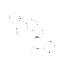 N#Cc1ccccc1C1=CN2C(CN3CCOCC3)=C(c3ccc(Cl)cc3)NC2C=C1